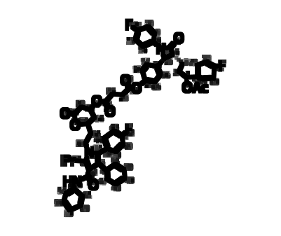 CC(=O)O[C@@H](CC[C@H]1C(=O)N(c2ccc(F)cc2)[C@@H]1c1ccc(OC(=O)CCC(=O)OC2CC(=O)OC(CCn3c(-c4ccc(F)cc4)c(-c4ccccc4)c(C(=O)Nc4ccccc4)c3C(C)C)C2)cc1)c1ccc(F)cc1